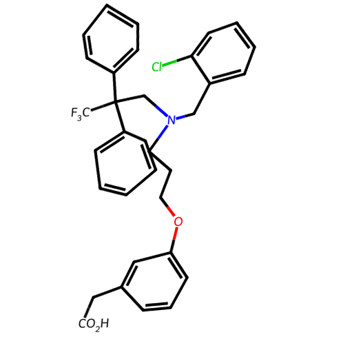 O=C(O)Cc1cccc(OCCCN(Cc2ccccc2Cl)CC(c2ccccc2)(c2ccccc2)C(F)(F)F)c1